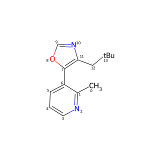 Cc1ncccc1-c1ocnc1CC(C)(C)C